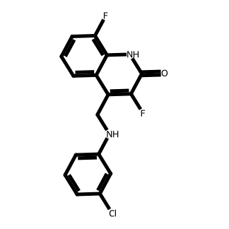 O=c1[nH]c2c(F)cccc2c(CNc2cccc(Cl)c2)c1F